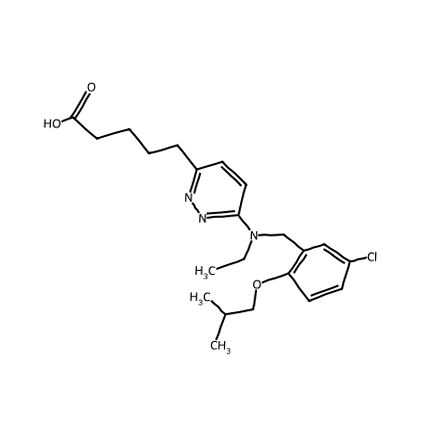 CCN(Cc1cc(Cl)ccc1OCC(C)C)c1ccc(CCCCC(=O)O)nn1